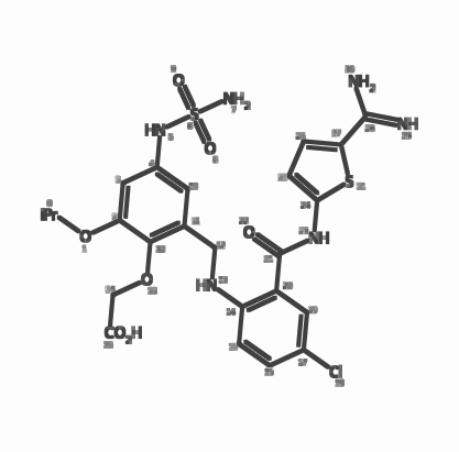 CC(C)Oc1cc(NS(N)(=O)=O)cc(CNc2ccc(Cl)cc2C(=O)Nc2ccc(C(=N)N)s2)c1OCC(=O)O